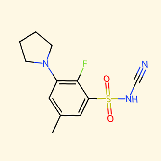 Cc1cc(N2CCCC2)c(F)c(S(=O)(=O)NC#N)c1